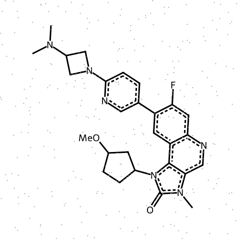 COC1CCC(n2c(=O)n(C)c3cnc4cc(F)c(-c5ccc(N6CC(N(C)C)C6)nc5)cc4c32)C1